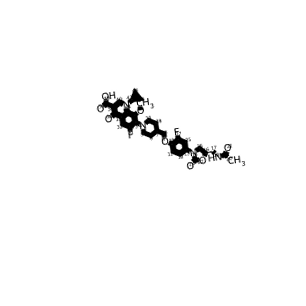 COc1c(N2CCC(COc3ccc(N4C[C@H](CNC(C)=O)OC4=O)cc3F)CC2)c(F)cc2c(=O)c(C(=O)O)cn(C3CC3)c12